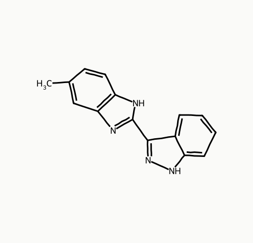 Cc1ccc2[nH]c(-c3n[nH]c4ccccc34)nc2c1